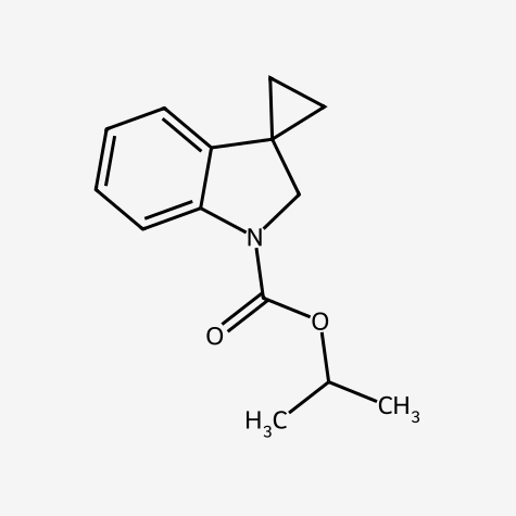 CC(C)OC(=O)N1CC2(CC2)c2ccccc21